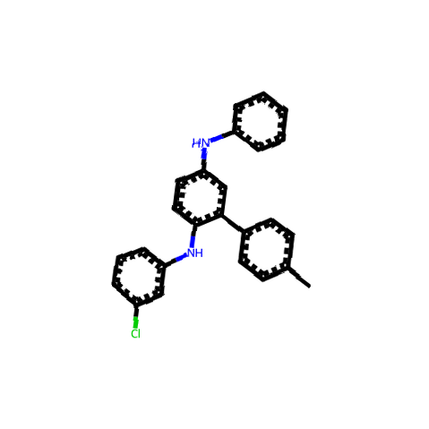 Cc1ccc(-c2cc(Nc3ccccc3)ccc2Nc2cccc(Cl)c2)cc1